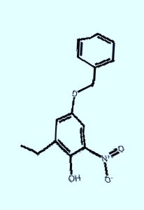 C[CH]c1cc(OCc2ccccc2)cc([N+](=O)[O-])c1O